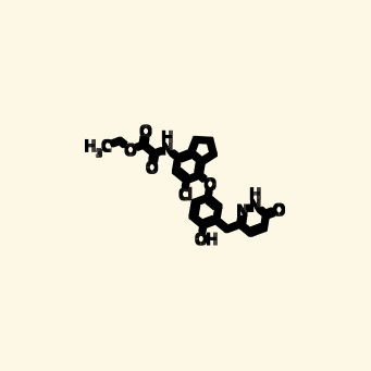 CCOC(=O)C(=O)Nc1cc(Cl)c(Oc2ccc(O)c(Cc3ccc(=O)[nH]n3)c2)c2c1CCC2